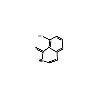 N#Cc1cccc2cc[nH]c(=O)c12